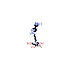 C[C@H]1[C@H](O)C(CCO)N(CCCCCCNc2ccc(-c3cn[nH]c3)cn2)C[C@@H]1O